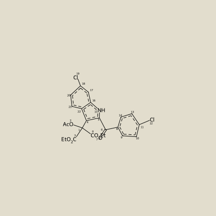 CCOC(=O)C(OC(C)=O)(C(=O)OCC)c1c(C(=O)c2ccc(Cl)cc2)[nH]c2cc(Cl)ccc12